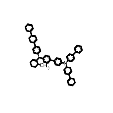 CC1CCCC=C1[C@@H](c1ccc(C2=CC=C(C3=CC=CCC3)CC2)cc1)c1ccc(-c2ccc(N(c3ccc(-c4ccccc4)cc3)C3C=CC(C4=CC=CCC4)=CC3)cc2)cc1